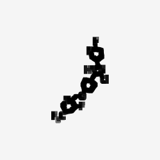 Fc1ccc(-c2nc(Cl)c(-c3ccc(OCc4ncc(C(F)(F)F)cc4F)cc3)[nH]2)cn1